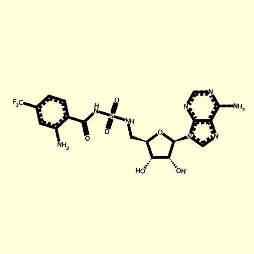 Nc1cc(C(F)(F)F)ccc1C(=O)NS(=O)(=O)NC[C@H]1O[C@@H](n2cnc3c(N)ncnc32)[C@H](O)[C@@H]1O